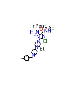 CCCCC[C@@H](NC(=O)c1nc(Cl)c(N2CCN(C3CCN(Cc4ccc(C)cc4)CC3)[C@@H](CC)C2)nc1N)C(C)=O